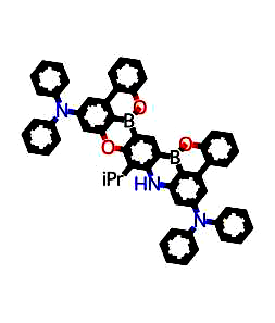 CC(C)c1c2c(cc3c1Oc1cc(N(c4ccccc4)c4ccccc4)cc4c1B3Oc1ccccc1-4)B1Oc3ccccc3-c3cc(N(c4ccccc4)c4ccccc4)cc(c31)N2